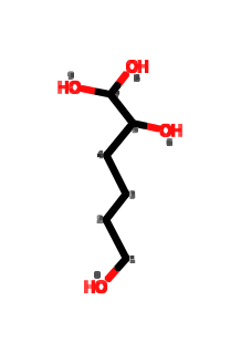 OCCCCC(O)C(O)O